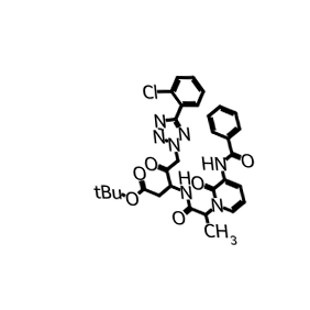 CC(C(=O)NC(CC(=O)OC(C)(C)C)C(=O)Cn1nnc(-c2ccccc2Cl)n1)n1cccc(NC(=O)c2ccccc2)c1=O